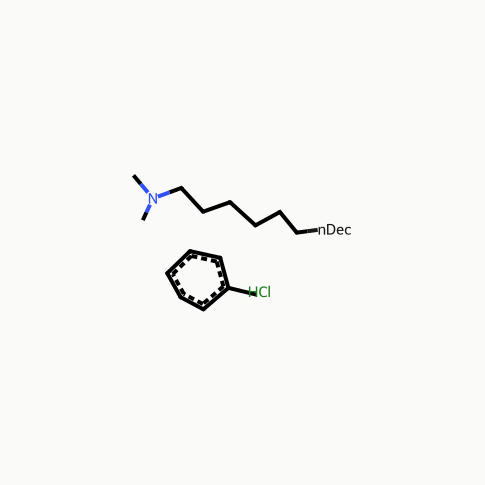 CCCCCCCCCCCCCCCCN(C)C.Cc1ccccc1.Cl